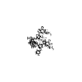 CO[C@H]1C(n2cnc3c(=O)[nH]c(N)nc32)OC(COP(=O)(O)OP(=O)(O)OP(=O)(O)OC[C@@H]2CN(Cc3ccccc3)C[C@H](N3CN(C)c4c3nc(N)[nH]c4=O)O2)[C@H]1O